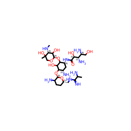 CN[C@@H]1C(O)[C@@H](OC2C(O)C(O[C@H]3O[C@H](CNC(=N)C(C)N)CCC3N)[C@@H](N)C[C@H]2NC(=O)[C@@H](O)[C@@H](N)[C@@H](N)CO)OCC1(C)O